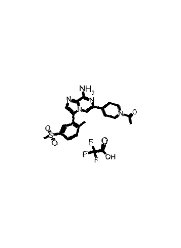 CC(=O)N1CCC(c2cn3c(-c4cc(S(C)(=O)=O)ccc4C)cnc3c(N)n2)CC1.O=C(O)C(F)(F)F